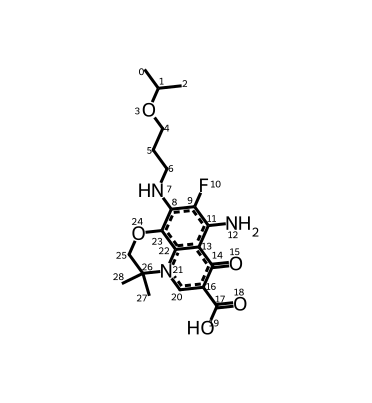 CC(C)OCCCNc1c(F)c(N)c2c(=O)c(C(=O)O)cn3c2c1OCC3(C)C